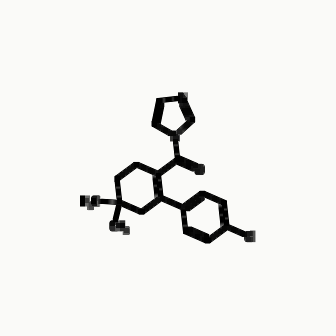 CC1(C)CCC(C(=O)n2ccnc2)=C(c2ccc(Cl)cc2)C1